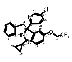 O=C(N[C@@](Cc1ccccc1)(c1cccc(OCC(F)(F)F)c1)c1ccc(Cl)cn1)C1CC1